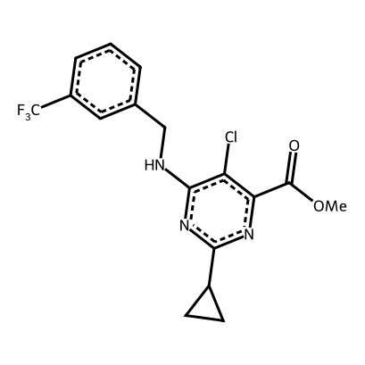 COC(=O)c1nc(C2CC2)nc(NCc2cccc(C(F)(F)F)c2)c1Cl